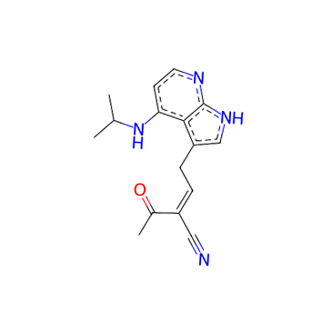 CC(=O)C(C#N)=CCc1c[nH]c2nccc(NC(C)C)c12